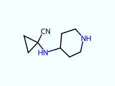 N#CC1(NC2CCNCC2)CC1